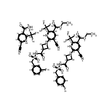 CCOC(=O)c1cc(C#N)c(N2CC(C(=O)NS(=O)(=O)Cc3ccc(F)cc3)C2)nc1C(F)(F)F.CCOC(=O)c1cc(C#N)c(N2CC(C(=O)NS(=O)(=O)Cc3cccc(F)c3)C2)nc1C(F)(F)F.N#Cc1ccc(C(=O)O)c(C(F)(F)F)n1